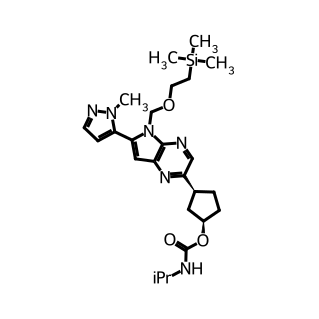 CC(C)NC(=O)O[C@@H]1CC[C@H](c2cnc3c(cc(-c4ccnn4C)n3COCC[Si](C)(C)C)n2)C1